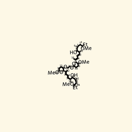 CC[C@H](OC)[C@@H](C)[C@@H]1C[C@H]1[C@H](O)[C@@H](C)/C=C/C=C(\C)[C@H]1O[C@H](OCCO[C@H]2CC[C@H](OC)O[C@@H]2/C(C)=C/C=C/[C@H](C)[C@@H](O)[C@@H]2C[C@H]2[C@H](C)[C@H](CC)OC)CC[C@@H]1OC